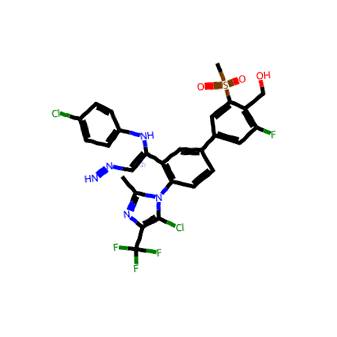 Cc1nc(C(F)(F)F)c(Cl)n1-c1ccc(-c2cc(F)c(CO)c(S(C)(=O)=O)c2)cc1/C(=C/N=N)Nc1ccc(Cl)cc1